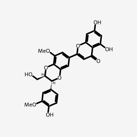 COc1cc([C@H]2Oc3cc(-c4cc(=O)c5c(O)cc(O)cc5o4)cc(OC)c3O[C@@H]2CO)ccc1O